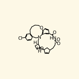 O=C1NS(=O)(=O)CCC2C=CC(O)(C2)[C@@H]2CC[C@H]2CN2Cc3ccc(Cl)cc3CCCCOc3ccc1cc32